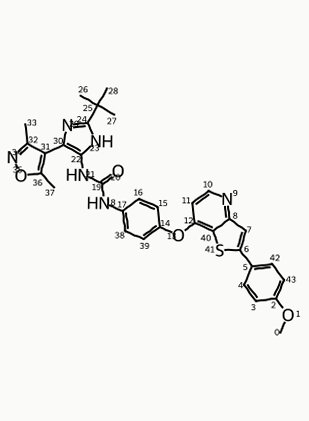 COc1ccc(-c2cc3nccc(Oc4ccc(NC(=O)Nc5[nH]c(C(C)(C)C)nc5-c5c(C)noc5C)cc4)c3s2)cc1